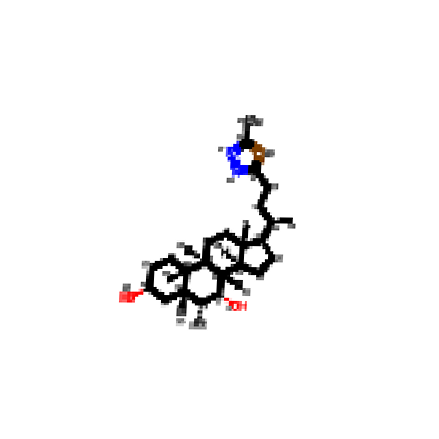 CC[C@H]1[C@@H](O)[C@@H]2[C@H](CC[C@]3(C)[C@@H]([C@H](C)CCc4nnc(C(C)(C)C)s4)CC[C@@H]23)[C@@]2(C)CC[C@@H](O)C[C@@H]12